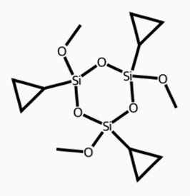 CO[Si]1(C2CC2)O[Si](OC)(C2CC2)O[Si](OC)(C2CC2)O1